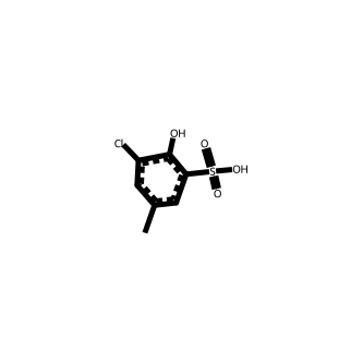 Cc1cc(Cl)c(O)c(S(=O)(=O)O)c1